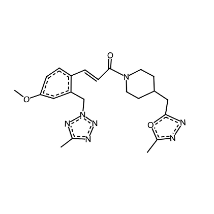 COc1ccc(C=CC(=O)N2CCC(Cc3nnc(C)o3)CC2)c(Cn2nnc(C)n2)c1